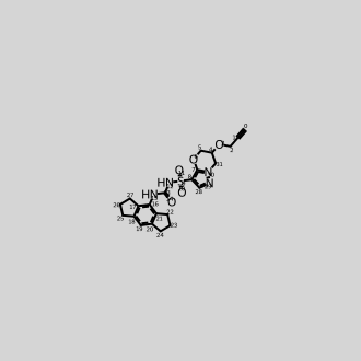 C#CCOC1COc2c(S(=O)(=O)NC(=O)Nc3c4c(cc5c3CCC5)CCC4)cnn2C1